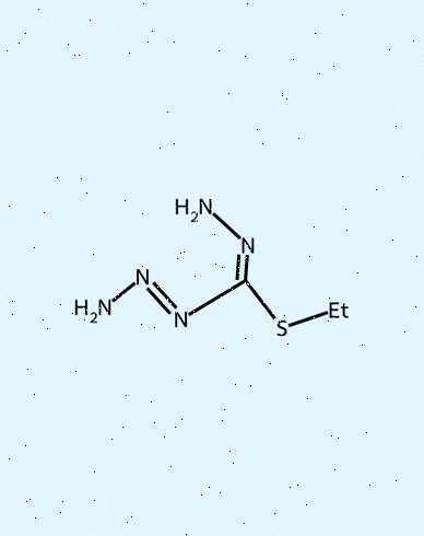 CCSC(N=NN)=NN